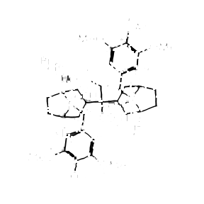 COc1cc(C[N+]2(C)[C@@H]3CC[C@H]2CC(C(CC(=O)O)(C(=O)O)C2C[C@H]4CC[C@@H](C2)[N+]4(C)Cc2cc(OC)c(OC(C)=O)c(OC)c2)C3)cc(OC)c1OC(C)=O.[Br-].[Br-]